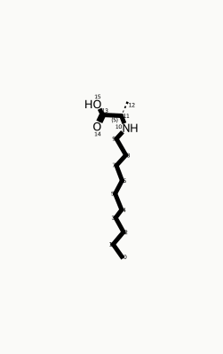 CCCCCCCCCCN[C@@H](C)C(=O)O